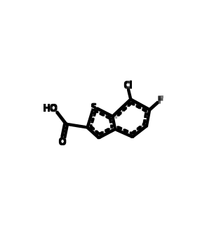 O=C(O)c1cc2ccc(F)c(Cl)c2s1